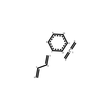 C=C=C.C=CC=C.c1ccccc1